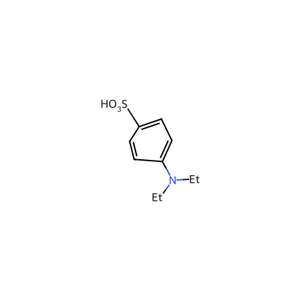 CCN(CC)c1ccc(S(=O)(=O)O)cc1